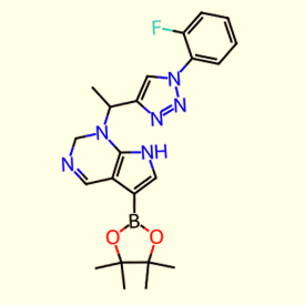 CC(c1cn(-c2ccccc2F)nn1)N1CN=Cc2c(B3OC(C)(C)C(C)(C)O3)c[nH]c21